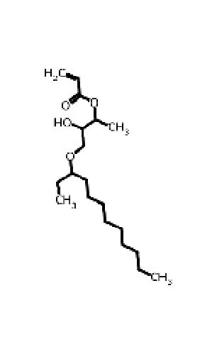 C=CC(=O)OC(C)C(O)COC(CC)CCCCCCCCC